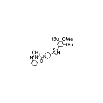 COc1c(C(C)(C)C)cc(-c2ncc(C3CCN(C(=O)Cn4c(C)nc5ccccc54)CC3)s2)cc1C(C)(C)C